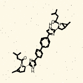 CC(C)CC(=O)N1C2C(C)C2C[C@H]1c1nc(-c2ccc(-c3ccc(-c4c[nH]c([C@@H]5CC6C(C)C6N5C(=O)CC(C)C)n4)cc3)cc2)c[nH]1